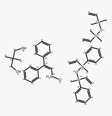 C=C[Si](C)(C)O[Si](C)(C)C=C.C=C[Si](C)(O[Si](C)(C=C)c1ccccc1)c1ccccc1.CC(C)(CO)CO.Cl[SiH2]C=C(c1ccccc1)c1ccccc1